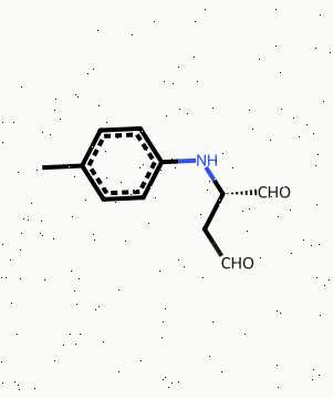 Cc1ccc(N[C@H](C=O)CC=O)cc1